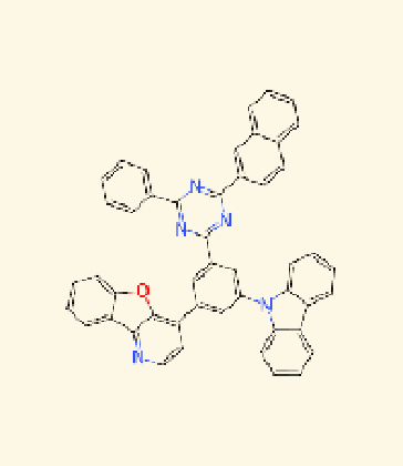 c1ccc(-c2nc(-c3cc(-c4ccnc5c4oc4ccccc45)cc(-n4c5ccccc5c5ccccc54)c3)nc(-c3ccc4ccccc4c3)n2)cc1